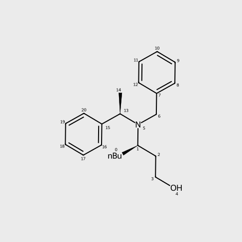 CCCC[C@H](CCO)N(Cc1ccccc1)[C@H](C)c1ccccc1